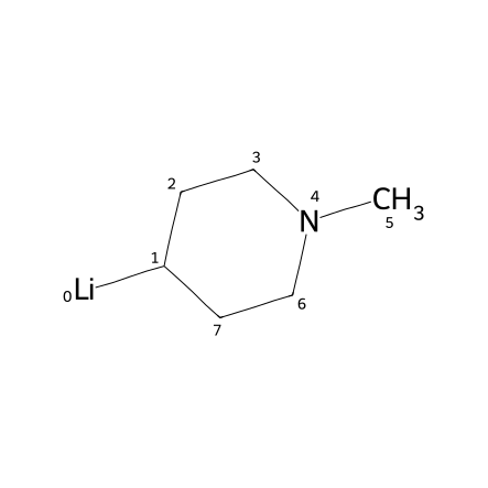 [Li][CH]1CCN(C)CC1